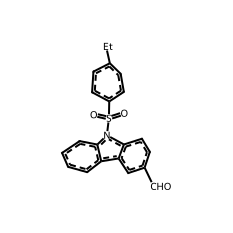 CCc1ccc(S(=O)(=O)n2c3ccccc3c3cc(C=O)ccc32)cc1